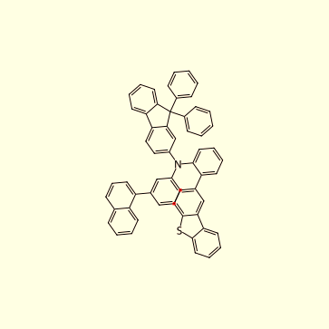 c1ccc(C2(c3ccccc3)c3ccccc3-c3ccc(N(c4cccc(-c5cccc6ccccc56)c4)c4ccccc4-c4ccc5sc6ccccc6c5c4)cc32)cc1